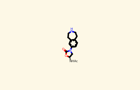 CC(=O)N[C@@H]1CN(c2ccc3c(c2)CCNCC3)C(=O)O1